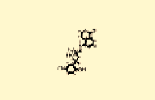 CC(C)(CC(O)(CNc1cccc2c(=O)[nH]ccc12)C(F)(F)F)c1cc(Cl)ccc1O